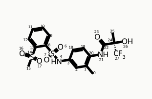 Cc1cc(NS(=O)(=O)c2ccccc2S(C)(=O)=O)ccc1NC(=O)[C@@](C)(O)C(F)(F)F